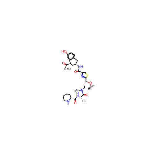 CCCO[C@H](C[C@H](C(C)C)N(CCC)C(=O)[C@@H](NC(=O)[C@H]1CCCCN1C)[C@@H](C)CC)c1nc(C(=O)N[C@H]2Cc3ccc(O)cc3[C@H](C(=O)OC)C2)cs1